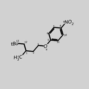 CC(CCOc1ccc([N+](=O)[O-])cc1)CC(C)(C)C